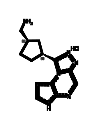 Cl.NC[C@@H]1CC[C@@H](c2nnc3cnc4[nH]ccc4n23)C1